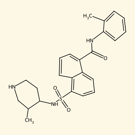 Cc1ccccc1NC(=O)c1cccc2c(S(=O)(=O)NC3CCNCC3C)cccc12